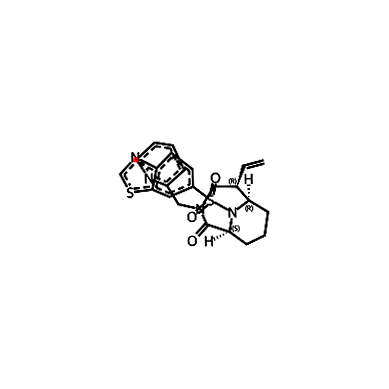 C=C[C@@H]1CN(Cc2ccccn2)C(=O)[C@@H]2CCC[C@H]1N2S(=O)(=O)c1ccc2ncsc2c1